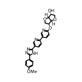 COc1ccc(-c2nnc(-c3ccc(-c4ccc(O[C@H]5CO[C@H]6[C@@H]5OC[C@H]6O)nc4)nc3)[nH]2)cc1